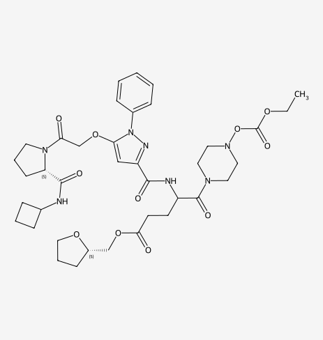 CCOC(=O)ON1CCN(C(=O)C(CCC(=O)OC[C@@H]2CCCO2)NC(=O)c2cc(OCC(=O)N3CCC[C@H]3C(=O)NC3CCC3)n(-c3ccccc3)n2)CC1